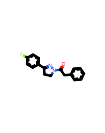 O=C(Cc1ccccc1)N1CCC(c2ccc(F)cc2)=N1